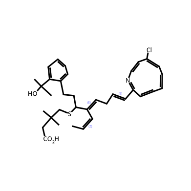 C/C=C\C(=C/C/C=C/c1cccccc(Cl)ccn1)C(CCc1ccccc1C(C)(C)O)SCC(C)(C)CC(=O)O